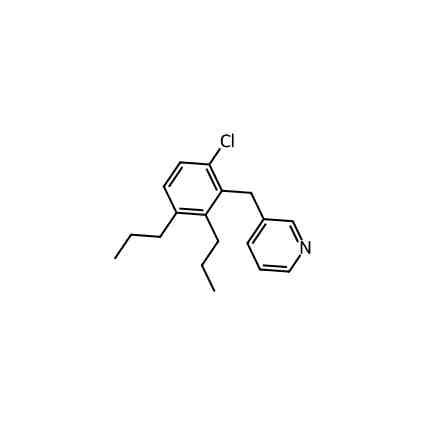 CCCc1ccc(Cl)c(Cc2cccnc2)c1CCC